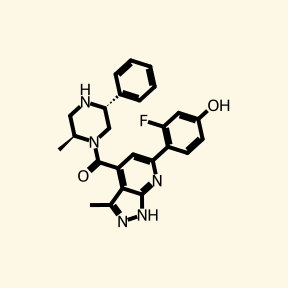 Cc1n[nH]c2nc(-c3ccc(O)cc3F)cc(C(=O)N3C[C@@H](c4ccccc4)NC[C@@H]3C)c12